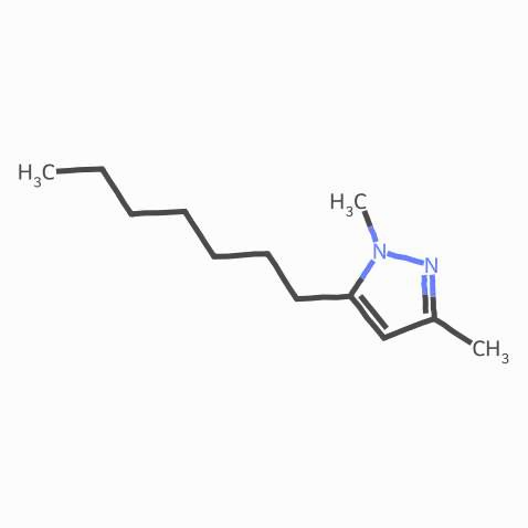 CCCCCCCc1cc(C)nn1C